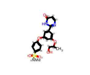 CNS(=O)(=O)c1ccc(Oc2cc(OC(C)CO)cc(-c3nccc(=O)[nH]3)c2)cc1